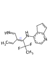 C=C/C(C=N)=C(/Nc1ccnc2c1CC=C2)C(C)(F)F